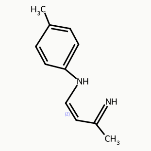 CC(=N)/C=C\Nc1ccc(C)cc1